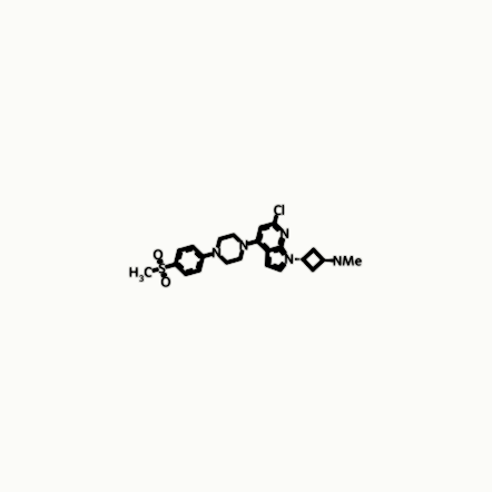 CN[C@H]1C[C@H](n2ccc3c(N4CCN(c5ccc(S(C)(=O)=O)cc5)CC4)cc(Cl)nc32)C1